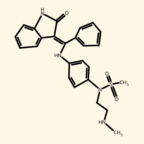 CNCCN(c1ccc(NC(=C2C(=O)Nc3ccccc32)c2ccccc2)cc1)S(C)(=O)=O